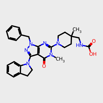 Cn1c(N2CCC(C)(CNC(=O)O)CC2)nc2c(c(N3CCc4ccccc43)nn2Cc2ccccc2)c1=O